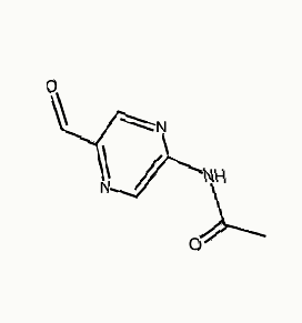 CC(=O)Nc1cnc(C=O)cn1